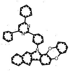 c1ccc(-c2cc(-c3ccccc3)nc(-c3cccc(-n4c5cc6ccccc6cc5c5ccc6c(c54)Oc4ccccc4O6)c3)n2)cc1